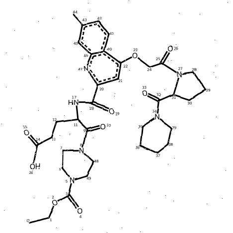 CCOC(=O)N1CCN(C(=O)C(CCC(=O)O)NC(=O)c2cc(OCC(=O)N3CCCC3C(=O)N3CCCCC3)c3ccc(C)cc3n2)CC1